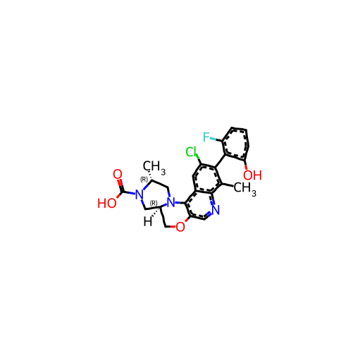 Cc1c(-c2c(O)cccc2F)c(Cl)cc2c3c(cnc12)OC[C@H]1CN(C(=O)O)[C@H](C)CN31